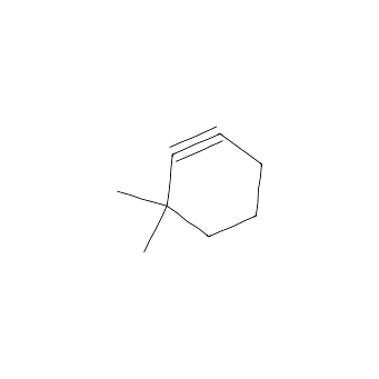 CC1(C)C#CCCC1